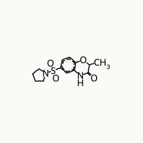 CC1Oc2ccc(S(=O)(=O)N3CCCC3)cc2NC1=O